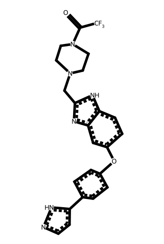 O=C(N1CCN(Cc2nc3cc(Oc4ccc(-c5ccn[nH]5)cc4)ccc3[nH]2)CC1)C(F)(F)F